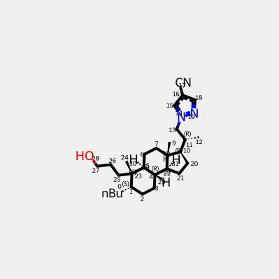 CCCC[C@H]1CC[C@@H]2[C@H](CC[C@]3(C)[C@@H]([C@@H](C)Cn4cc(C#N)cn4)CC[C@@H]23)[C@@]1(C)CCCO